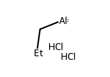 CC[CH2][Al].Cl.Cl